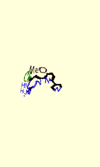 COc1ccc(-c2ccncc2)nc1C1=CC(Cl)NC(N)=N1